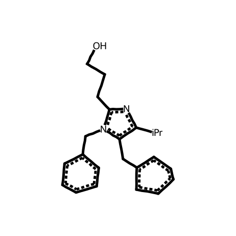 CC(C)c1nc(CCCO)n(Cc2ccccc2)c1Cc1ccccc1